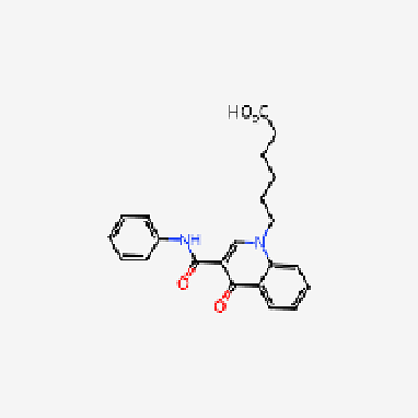 O=C(O)CCCCCn1cc(C(=O)Nc2ccccc2)c(=O)c2ccccc21